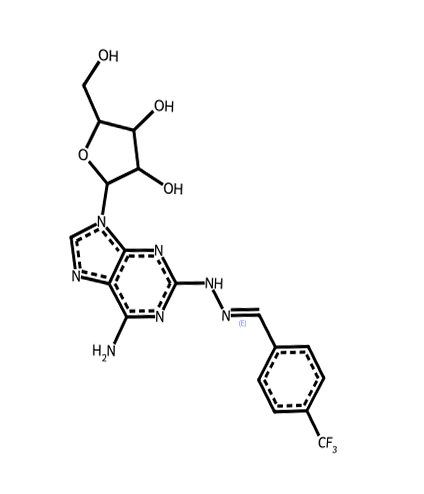 Nc1nc(N/N=C/c2ccc(C(F)(F)F)cc2)nc2c1ncn2C1OC(CO)C(O)C1O